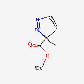 CCOC(=O)C1(C)C=CN=N1